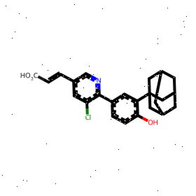 O=C(O)/C=C/c1cnc(-c2ccc(O)c(C34CC5CC(CC(C5)C3)C4)c2)c(Cl)c1